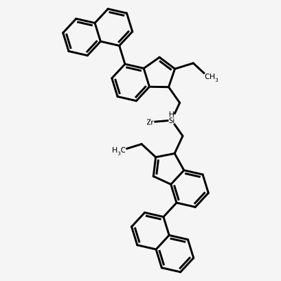 CCC1=Cc2c(-c3cccc4ccccc34)cccc2C1C[SiH]([Zr])CC1C(CC)=Cc2c(-c3cccc4ccccc34)cccc21